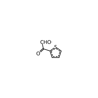 O=[C]C(=O)c1cccs1